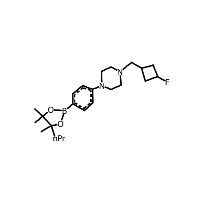 CCCC1(C)OB(c2ccc(N3CCN(CC4CC(F)C4)CC3)cc2)OC1(C)C